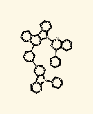 c1ccc(-c2nc(-n3c4ccccc4c4c5ccccc5c(-c5cccc(-c6ccc7c(c6)c6ccccc6n7-c6ccccc6)c5)cc43)nc3ccccc23)cc1